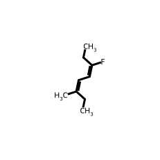 CC/C(C)=C\C=C(\F)CC